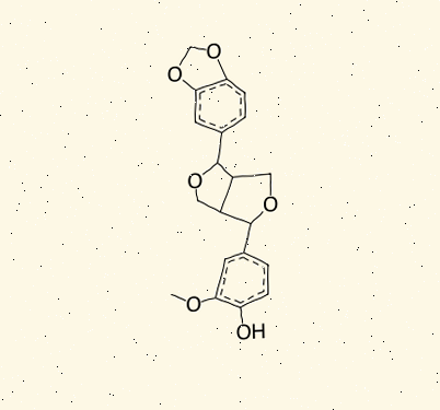 COc1cc(C2OCC3C(c4ccc5c(c4)OCO5)OCC23)ccc1O